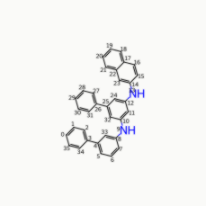 c1ccc(-c2cccc(Nc3cc(Nc4ccc5ccccc5c4)cc(-c4ccccc4)c3)c2)cc1